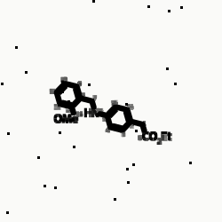 CCOC(=O)Cc1ccc(NCc2ccccc2OC)cc1